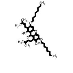 BCCCCCCCOc1cc2oc3cc(OCCCCCCCB)c(OC)c(CC=C(C)C)c3c(=O)c2c(O)c1CC=C(C)C